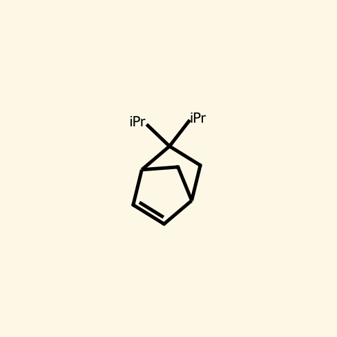 CC(C)C1(C(C)C)CC2C=CC1C2